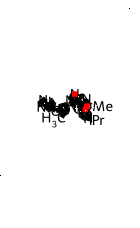 COc1ncc2ncnc(Nc3ccc(Oc4ccn5ncnc5c4)c(C)c3)c2c1O[C@H]1CCN(C(C)C)CC1(F)F